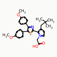 COc1ccc(-c2nc(-c3c(CC(C)(C)C)ccn3CC(=O)O)sc2-c2ccc(OC)cc2)cc1